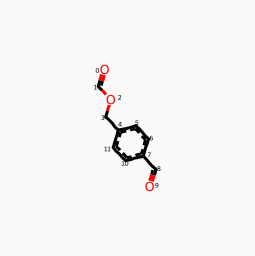 O=COCc1ccc(C=O)cc1